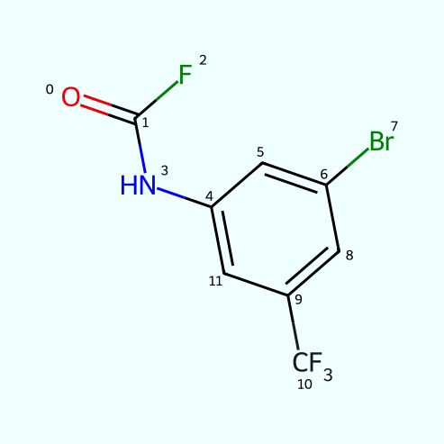 O=C(F)Nc1cc(Br)cc(C(F)(F)F)c1